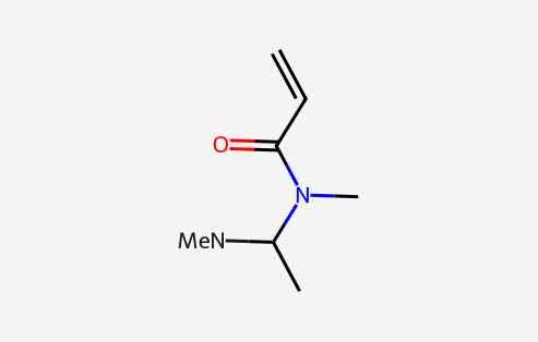 C=CC(=O)N(C)C(C)NC